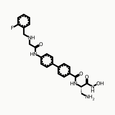 NC[C@H](NC(=O)c1ccc(-c2ccc(NC(=O)CNCc3ccccc3F)cc2)cc1)C(=O)NO